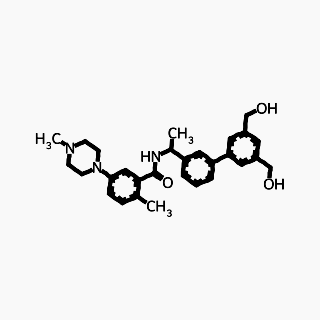 Cc1ccc(N2CCN(C)CC2)cc1C(=O)NC(C)c1cccc(-c2cc(CO)cc(CO)c2)c1